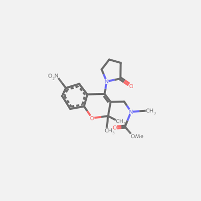 COC(=O)N(C)CC1=C(N2CCCC2=O)c2cc([N+](=O)[O-])ccc2OC1(C)C